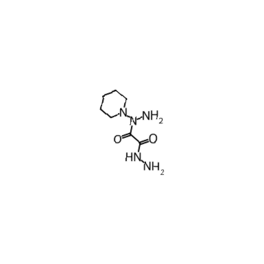 NNC(=O)C(=O)N(N)N1CCCCC1